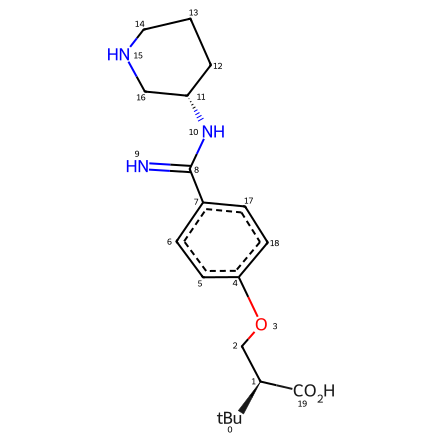 CC(C)(C)[C@@H](COc1ccc(C(=N)N[C@H]2CCCNC2)cc1)C(=O)O